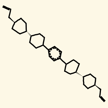 C=CC[C@H]1CC[C@H](C2CCC(c3ccc(C4CCC([C@H]5CC[C@H](CC=C)CC5)CC4)cc3)CC2)CC1